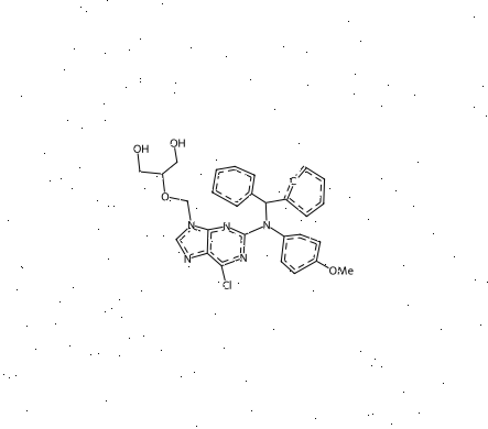 COc1ccc(N(c2nc(Cl)c3ncn(COC(CO)CO)c3n2)C(c2ccccc2)c2ccccc2)cc1